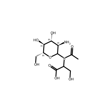 CC(=O)N(C(CO)C(=O)O)C1O[C@H](CO)[C@@H](O)[C@H](O)[C@H]1N